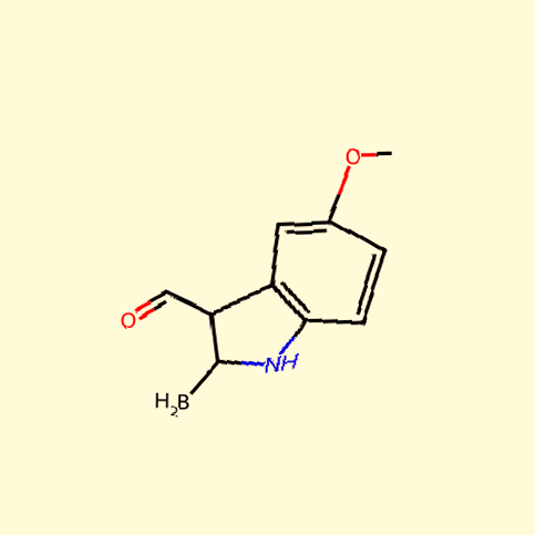 BC1Nc2ccc(OC)cc2C1C=O